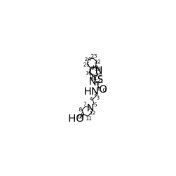 O=C(NCCCN1CCC(O)CC1)c1nc2cc3c(nc2s1)CCCC3